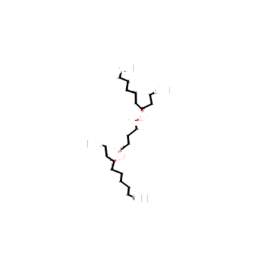 CCCCCCC(CCC)O[SiH2]CCC[SiH2]OC(CCC)CCCCCC